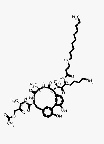 CCCCCCCCCCNCCC(=O)N[C@@H](CCCCN)C(=O)N(C)[C@@H]1C(=O)N[C@@H](C)C(=O)N[C@H](C(=O)N[C@@H](C)C(=O)COC(C)=O)Cc2ccc(O)c(c2)-c2cc1ccc2O